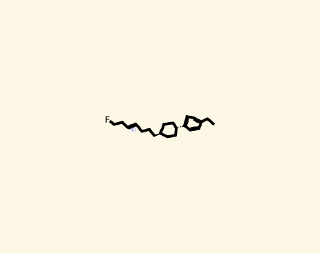 CCc1ccc([C@H]2CC[C@H](CCC/C=C/CCF)CC2)cc1